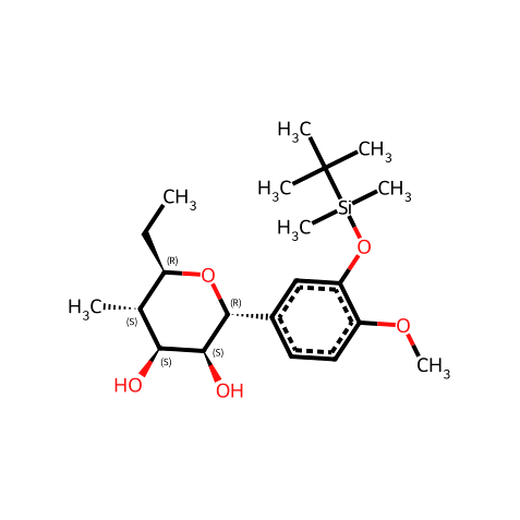 CC[C@H]1O[C@H](c2ccc(OC)c(O[Si](C)(C)C(C)(C)C)c2)[C@@H](O)[C@@H](O)[C@@H]1C